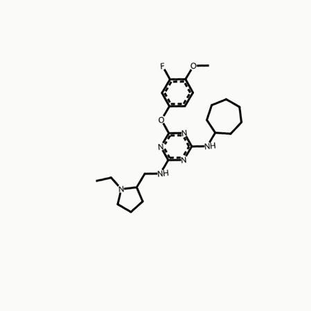 CCN1CCCC1CNc1nc(NC2CCCCCC2)nc(Oc2ccc(OC)c(F)c2)n1